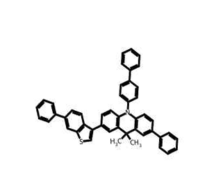 CC1(C)c2cc(-c3ccccc3)ccc2N(c2ccc(-c3ccccc3)cc2)c2ccc(-c3csc4cc(-c5ccccc5)ccc34)cc21